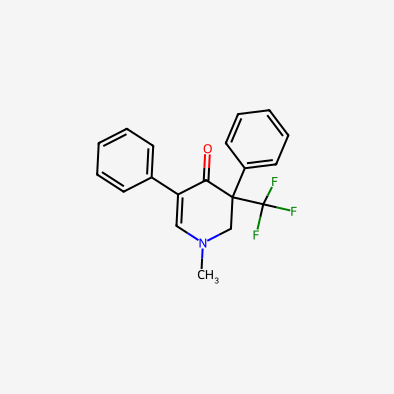 CN1C=C(c2ccccc2)C(=O)C(c2ccccc2)(C(F)(F)F)C1